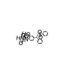 O=C1CN(c2ccc(C(CS(=O)(=O)c3ccccc3)c3ccccc3)cc2O)S(=O)(=O)N1